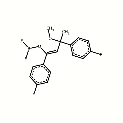 COC(C)(/C=C(\OB(F)F)c1ccc(F)cc1)c1ccc(F)cc1